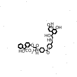 O=C(COc1cccc([C@](O)(C(=O)O)c2ccccc2)c1)N[C@H]1CC[C@H](C(=O)N2CCC(CNC[C@H](O)c3ccc(O)c4[nH]c(=O)ccc34)CC2)CC1